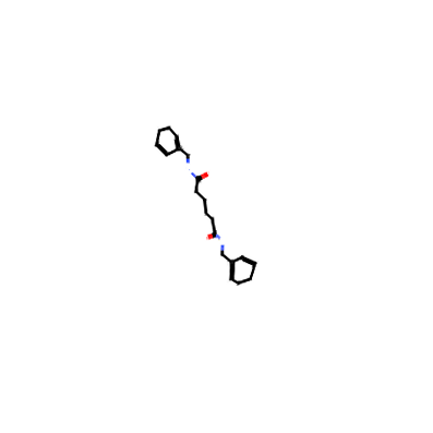 O=C(CCCCC(=O)NCC1=CCCC=C1)NCC1=CCCC=C1